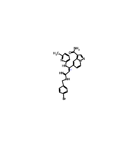 Cc1cccc(N/C(=C\C(=N)NCc2ccc(Br)cc2)c2ccn3ncc(C(N)=O)c3c2)n1